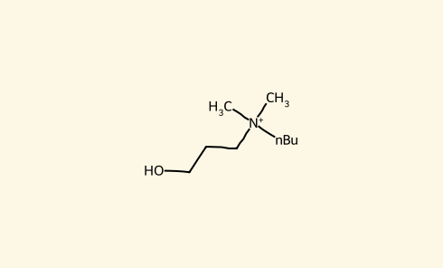 CCCC[N+](C)(C)CCCO